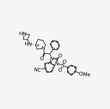 COc1ccc(S(=O)(=O)n2c(=O)n(C(C(=O)N3CCC[C@@H](NC4CNC4)C3)c3ccccc3)c3cc(C#N)ccc32)cc1